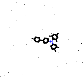 Cc1ccc(-c2ccc(N(c3ccc(C)c(C)c3)c3c(C)cc(C)cc3C)cc2)cc1